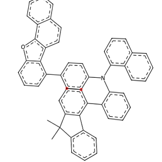 CC1(C)c2ccccc2-c2c(-c3ccccc3N(c3ccc(-c4cccc5oc6c7ccccc7ccc6c45)cc3)c3cccc4ccccc34)cccc21